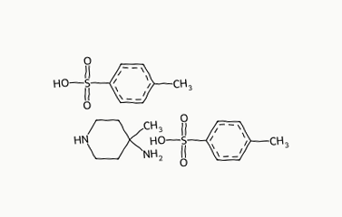 CC1(N)CCNCC1.Cc1ccc(S(=O)(=O)O)cc1.Cc1ccc(S(=O)(=O)O)cc1